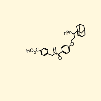 CCCC(CCOc1ccc(C(=O)NCc2ccc(C(=O)O)cc2)cc1)C12CC3CC(CC(C3)C1)C2